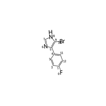 Fc1ccc(-c2nc[nH]c2Br)cc1